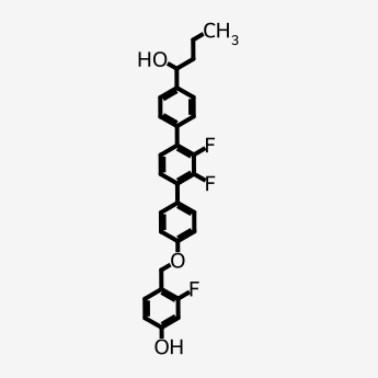 CCCC(O)c1ccc(-c2ccc(-c3ccc(OCc4ccc(O)cc4F)cc3)c(F)c2F)cc1